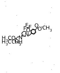 CCOC(=O)c1ccc(CN2CCC[C@H](NCC(=O)OC(C)(C)C)C2)c(OC(F)(F)F)c1